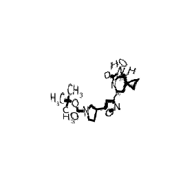 CC(C)(C)OC(=O)N1CCC(c2cc([C@@H]3CC4(CC4)[C@H]4CN3C(=O)N4O)no2)C1